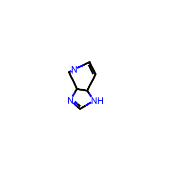 C1=CC2NC=NC2C=N1